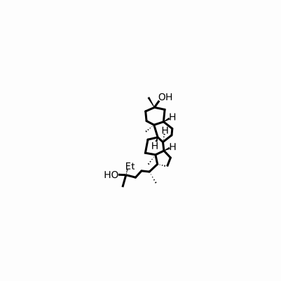 CC[C@](C)(O)CC[C@@H](C)[C@H]1CC[C@H]2[C@@H]3CC[C@H]4C[C@@](C)(O)CC[C@]4(C)[C@H]3CC[C@]12C